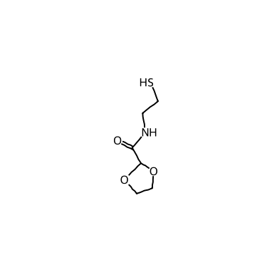 O=C(NCCS)C1OCCO1